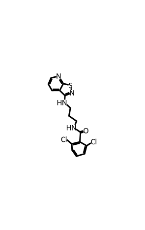 O=C(NCCCNc1nsc2ncccc12)c1c(Cl)cccc1Cl